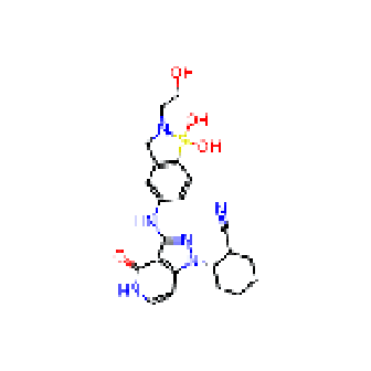 N#C[C@H]1CCCC[C@@H]1n1nc(Nc2ccc3c(c2)CN(CCO)S3(O)O)c2c(=O)[nH]ccc21